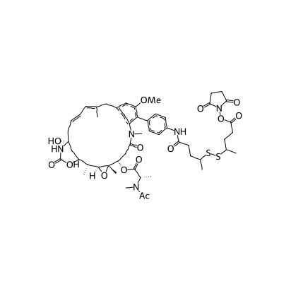 COc1cc2cc(c1-c1ccc(NC(=O)CCC(C)SSC(C)CCC(=O)ON3C(=O)CCC3=O)cc1)N(C)C(=O)C[C@H](OC(=O)[C@H](C)N(C)C(C)=O)[C@]1(C)O[C@H]1[C@H](C)[C@@H]1C[C@](O)(C/C=C/C=C(\C)C2)NC(=O)O1